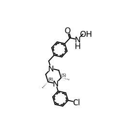 C[C@@H]1CN(Cc2ccc(C(=O)NO)cc2)C[C@H](C)N1c1cccc(Cl)c1